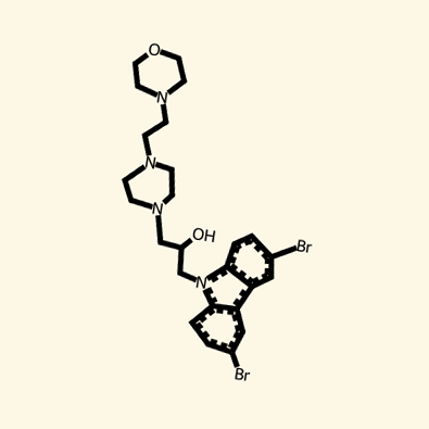 OC(CN1CCN(CCN2CCOCC2)CC1)Cn1c2ccc(Br)cc2c2cc(Br)ccc21